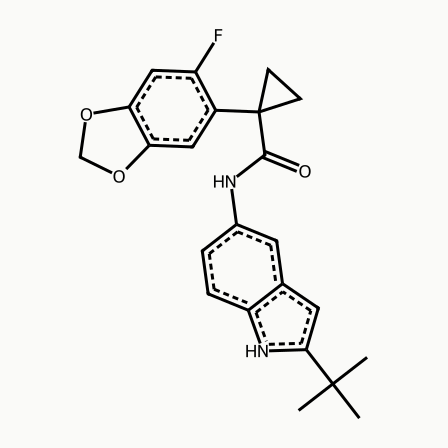 CC(C)(C)c1cc2cc(NC(=O)C3(c4cc5c(cc4F)OCO5)CC3)ccc2[nH]1